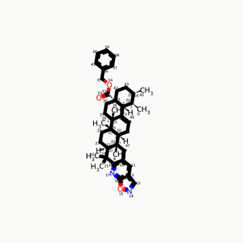 C[C@@H]1[C@H]2C3=CC[C@H]4[C@]5(C)Cc6cc7cnoc7nc6C(C)(C)[C@H]5CC[C@]4(C)[C@]3(C)CC[C@@]2(C(=O)OCc2ccccc2)CC[C@@H]1C